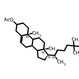 CC(=O)OC1CC[C@@]2(C)C(=CCC3C2CC[C@@]2(C)C3CC[C@@H]2[C@H](C)CCCC(C)(C)Cl)C1